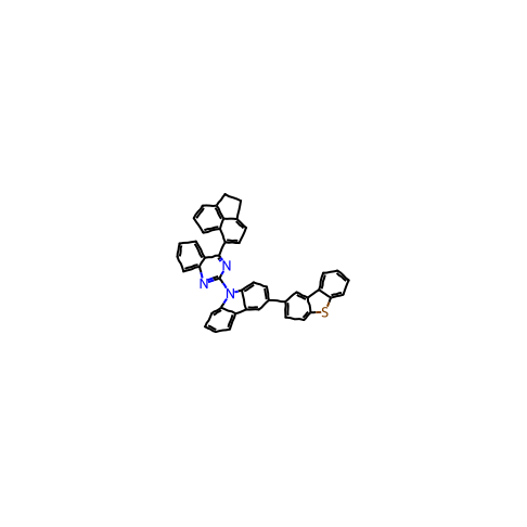 c1ccc2c(-c3ccc4c5c(cccc35)CC4)nc(-n3c4ccccc4c4cc(-c5ccc6sc7ccccc7c6c5)ccc43)nc2c1